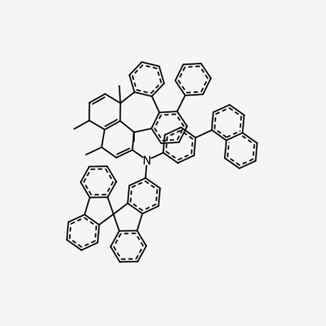 CC1C=CC2(C)C3=C1C(C)C=C(N(c1ccc(-c4cccc5ccccc45)cc1)c1ccc4c(c1)C1(c5ccccc5-c5ccccc51)c1ccccc1-4)C3(C)c1cccc(-c3ccccc3)c1-c1ccccc12